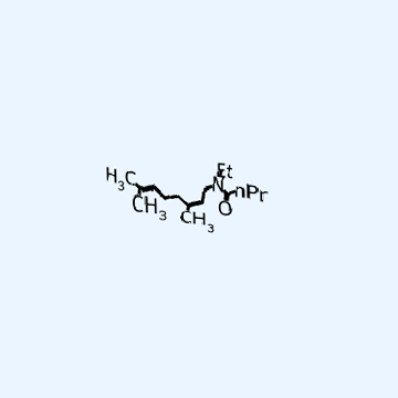 CCCC(=O)N(CC)C/C=C(/C)CCC=C(C)C